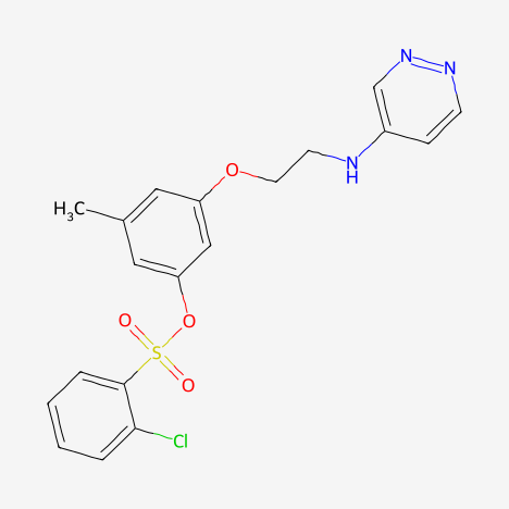 Cc1cc(OCCNc2ccnnc2)cc(OS(=O)(=O)c2ccccc2Cl)c1